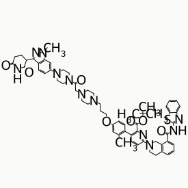 Cc1cc(OCCCN2CCN(CC(=O)N3CCN(c4ccc5c(C6CCC(=O)NC6=O)nn(C)c5c4)CC3)CC2)ccc1-c1ccc(N2CCc3cccc(C(=O)Nc4nc5ccccc5s4)c3C2)nc1C(=O)OC(C)(C)C